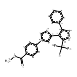 COC(=O)c1ccc(-n2cnc(-c3c(-c4ccccc4)noc3C(F)(F)F)c2)cc1